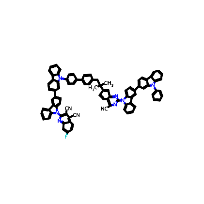 CC(C)(Cc1ccc(-c2ccc(-n3c4ccccc4c4ccc(-c5ccc6c(c5)c5ccccc5n6-c5nc6cc(F)ccc6c(C#N)c5C#N)cc43)cc2)cc1)c1ccc2c(C#N)nc(-n3c4ccccc4c4cc(-c5ccc6c7ccccc7n(-c7ccccc7)c6c5)ccc43)nc2c1